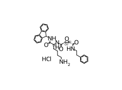 Cl.NCCCC[C@H](NC(=O)[C@H]1O[C@@H]1C(=O)NCCc1ccccc1)C(=O)NC1c2ccccc2-c2ccccc21